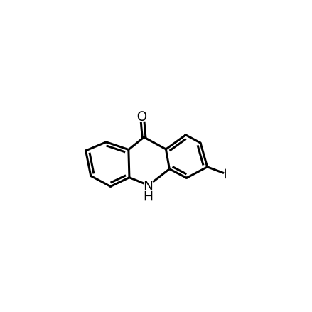 O=c1c2ccccc2[nH]c2cc(I)ccc12